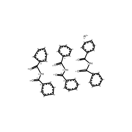 O=C(PC(=O)c1ccccc1)c1ccccc1.O=C(PC(=O)c1ccccc1)c1ccccc1.O=C(PC(=O)c1ccccc1)c1ccccc1.[Al+3]